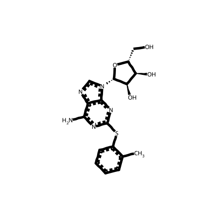 Cc1ccccc1Sc1nc(N)c2ncn([C@@H]3O[C@H](CO)[C@@H](O)[C@H]3O)c2n1